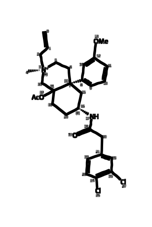 C=CC[N@@+]1(C)CC[C@@]2(c3cccc(OC)c3)C[C@H](NC(=O)Cc3ccc(Cl)c(Cl)c3)CCC2(OC(C)=O)C1